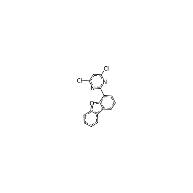 Clc1cc(Cl)nc(-c2cccc3c2oc2ccccc23)n1